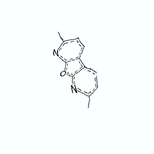 Cc1ccc2c(n1)oc1nc(C)ccc12